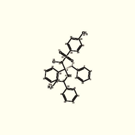 CCC(N[C@@](Cc1ccccc1)(c1ccccc1)N(Cl)S(=O)(=O)c1ccc(C)cc1)c1ccccc1